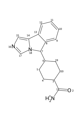 NC(=O)C1CCC(C2c3ccccc3-c3cncn32)CC1